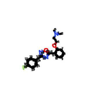 CN(C)CCOc1ccccc1-c1nc(-c2ccc(F)cc2)no1